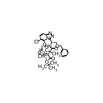 COCCOc1c(Cl)ccc2nnc([C@@H](COCc3ccccc3)NC(=O)C(C)(C)NC(=O)OC(C)(C)C)n12